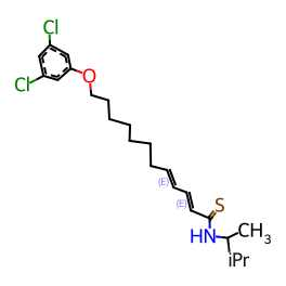 CC(C)C(C)NC(=S)/C=C/C=C/CCCCCCCOc1cc(Cl)cc(Cl)c1